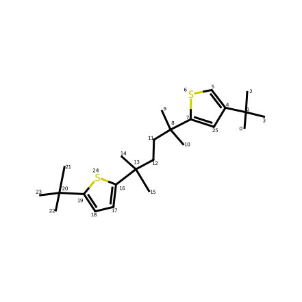 CC(C)(C)c1csc(C(C)(C)CCC(C)(C)c2ccc(C(C)(C)C)s2)c1